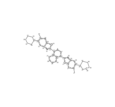 Cc1cc2oc(-c3ccc(-c4nc5cc(C6CCCCC6)c(C)cc5o4)c4ccccc34)nc2cc1C1CCCCC1